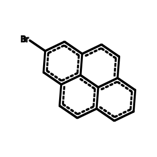 Brc1cc2ccc3cccc4ccc(c1)c2c34